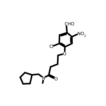 CN(CC1CCCC1)C(=O)CCCOc1cc([N+](=O)[O-])c(C=O)cc1Cl